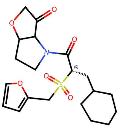 O=C1COC2CCN(C(=O)[C@H](CC3CCCCC3)S(=O)(=O)Cc3ccco3)C12